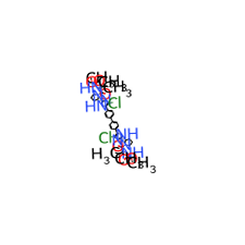 COC(=O)NC(C(=O)N1CCC[C@H]1c1nc(Cl)c(-c2ccc(-c3ccc(-c4[nH]c([C@@H]5CCCN5C(=O)[C@@H](NC(=O)OC)C(C)C)nc4Cl)cc3)cc2)[nH]1)C(C)C